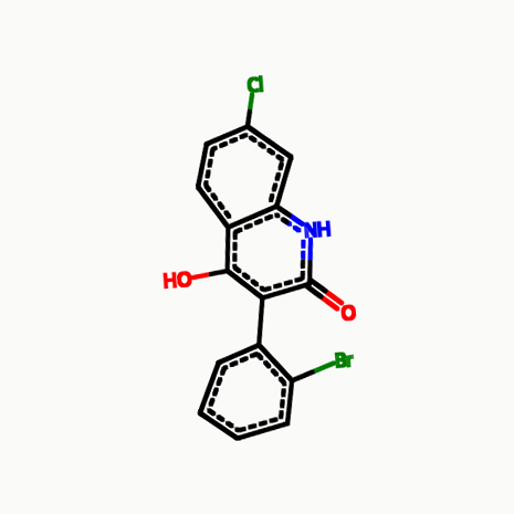 O=c1[nH]c2cc(Cl)ccc2c(O)c1-c1ccccc1Br